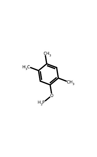 Cc1cc(C)c(OP)cc1C